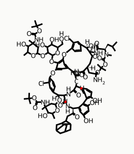 CC(C)C[C@H](C(=O)N[C@H]1C(=O)C[C@@H](CC(N)=O)C(=O)N[C@H]2C(=O)C[C@H]3C(=O)N[C@H](C(=O)N[C@H](C(=O)CC4C5CC6CC(C5)CC4C6)c4cc(O)cc(O)c4-c4cc3ccc4O)[C@H](OC3CC(C)(NC(=O)OC(C)(C)C)C(O)C(C)O3)c3ccc(c(Cl)c3)Oc3cc2cc(c3OC2OC(CO)C(O)C(O)C2OC2CC(C)(NC(=O)OC(C)(C)C)C(O)C(C)O2)Oc2ccc(cc2Cl)[C@H]1O)N(C)C(=O)OC(C)(C)C